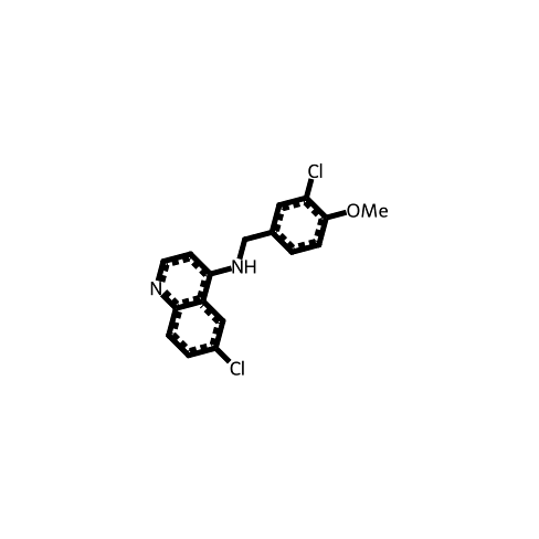 COc1ccc(CNc2ccnc3ccc(Cl)cc23)cc1Cl